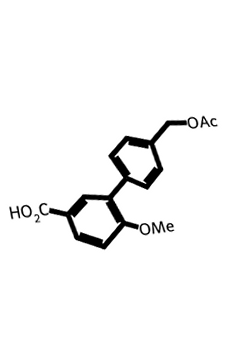 COc1ccc(C(=O)O)cc1-c1ccc(COC(C)=O)cc1